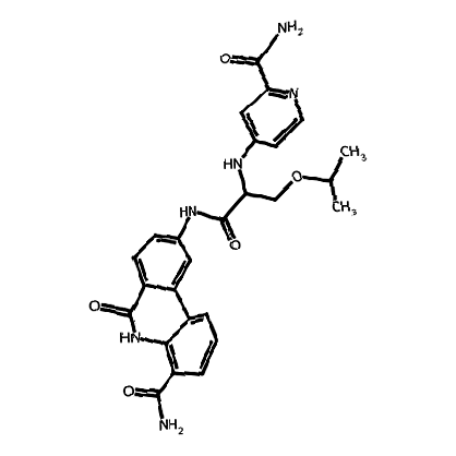 CC(C)OCC(Nc1ccnc(C(N)=O)c1)C(=O)Nc1ccc2c(=O)[nH]c3c(C(N)=O)cccc3c2c1